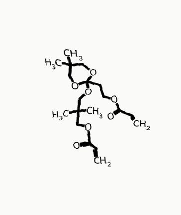 C=CC(=O)OCCC1(OCC(C)(C)COC(=O)C=C)OCC(C)(C)CO1